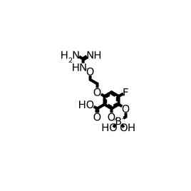 N=C(N)NOCCOc1cc(F)c2c(c1C(=O)O)O[B-](O)(O)CO2